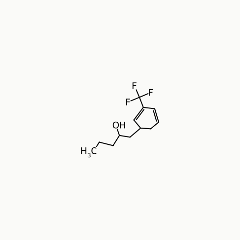 CCCC(O)CC1C=C(C(F)(F)F)C=CC1